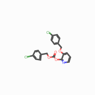 O=C(OCc1ccc(Cl)cc1)Oc1ncccc1OCc1ccc(Cl)cc1